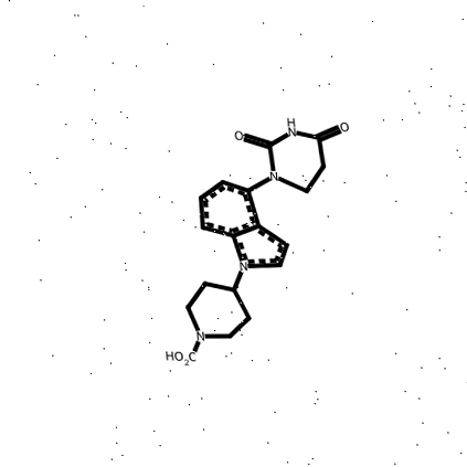 O=C1CCN(c2cccc3c2ccn3C2CCN(C(=O)O)CC2)C(=O)N1